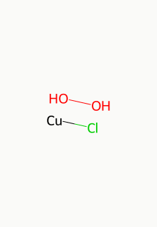 OO.[Cl][Cu]